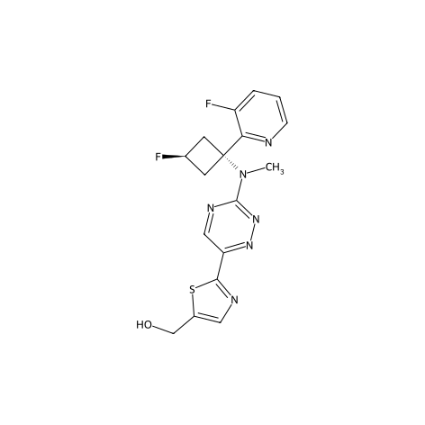 CN(c1ncc(-c2ncc(CO)s2)nn1)[C@]1(c2ncccc2F)C[C@@H](F)C1